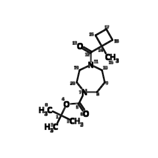 CC(C)(C)OC(=O)N1CCCN(C(=O)C2(C)CCC2)CC1